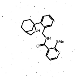 CSc1ncccc1C(=O)NCc1ccccc1C12CCCC(CN1)C2